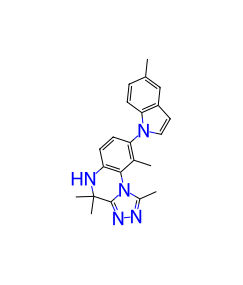 Cc1ccc2c(ccn2-c2ccc3c(c2C)-n2c(C)nnc2C(C)(C)N3)c1